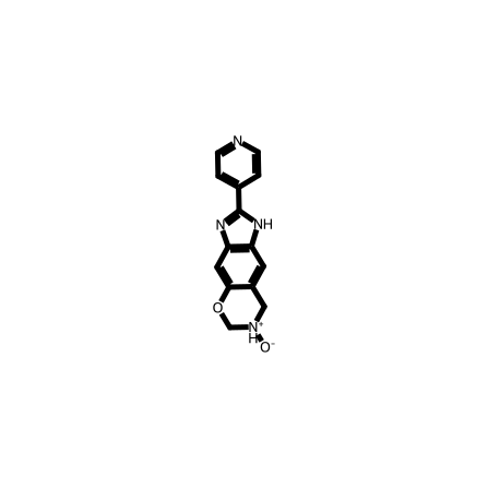 [O-][NH+]1COc2cc3nc(-c4ccncc4)[nH]c3cc2C1